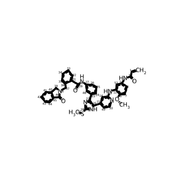 C=CC(=O)Nc1ccc(OC)c(Nc2cc(-c3[nH]c(SC)nc3-c3cccc(NC(=O)c4ccccc4CN4Cc5ccccc5C4=O)c3)ccn2)c1